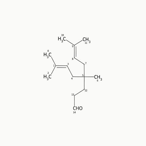 CC(C)=CCC(C)(CC=C(C)C)CCC=O